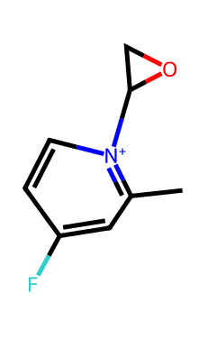 Cc1cc(F)cc[n+]1C1CO1